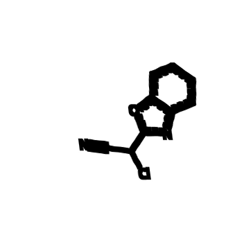 N#CC(Cl)c1nc2ccccc2o1